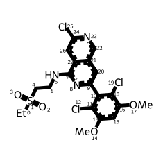 CCS(=O)(=O)CCNc1nc(-c2c(Cl)c(OC)cc(OC)c2Cl)cc2cnc(Cl)cc12